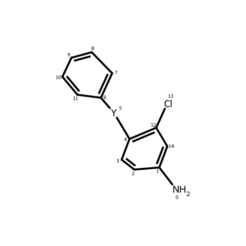 Nc1cc[c]([Y][c]2ccccc2)c(Cl)c1